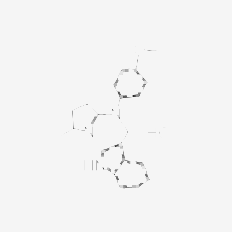 COc1ccc(N(Cc2c[nH]c3ccccc23)C2=NC(C)CC2)cc1.Cl